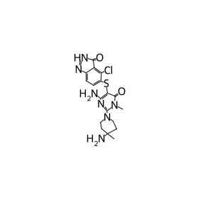 Cn1c(N2CCC(C)(N)CC2)nc(N)c(Sc2ccc3nc[nH]c(=O)c3c2Cl)c1=O